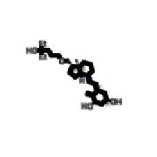 C=C1/C(=C\C=C2/CCC[C@]3(C)[C@@H](COCCCC(O)(CC)CC)CC[C@@H]23)C[C@@H](O)C[C@@H]1O